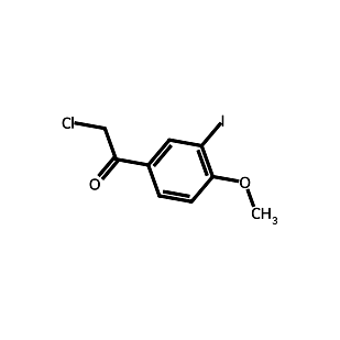 COc1ccc(C(=O)CCl)cc1I